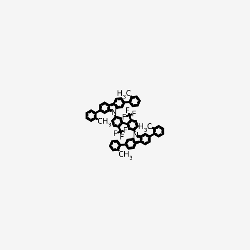 Cc1ccccc1-c1ccc2c3ccc(-c4ccccc4C)cc3n(-c3ccc(C(F)(F)F)c(-c4cc(-n5c6cc(-c7ccccc7C)ccc6c6ccc(-c7ccccc7C)cc65)ccc4C(F)(F)F)c3)c2c1